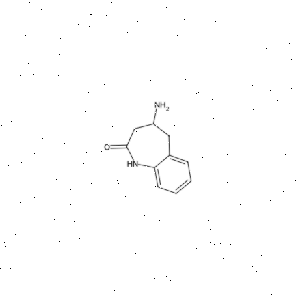 NC1CC(=O)Nc2ccccc2C1